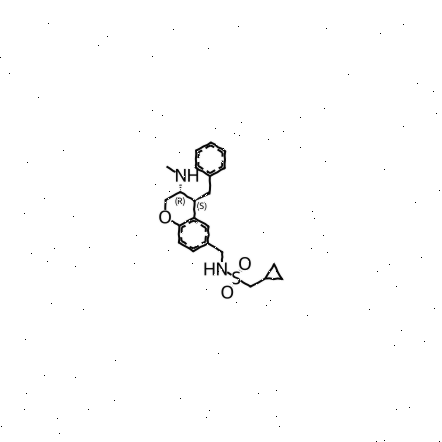 CN[C@H]1COc2ccc(CNS(=O)(=O)CC3CC3)cc2[C@@H]1Cc1ccccc1